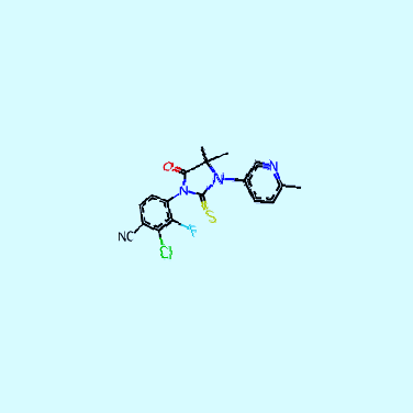 Cc1ccc(N2C(=S)N(c3ccc(C#N)c(Cl)c3F)C(=O)C2(C)C)cn1